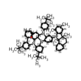 Cc1cc2c3c(c1)N(c1ccc(C(C)(C)C)cc1-c1ccccc1)c1cc(C(C)(C)C)ccc1B3c1ccc(N3c4c(C)cc(C)cc4C4(C)CCc5ccccc5C34C)cc1N2c1ccc(C(C)(C)C)cc1